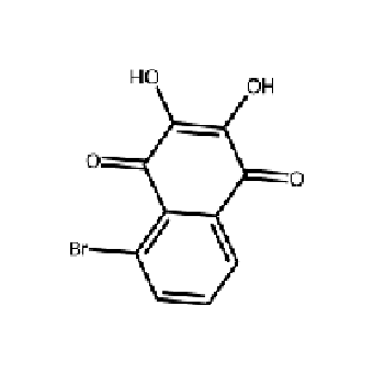 O=C1C(O)=C(O)C(=O)c2c(Br)cccc21